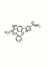 CN(C)C(=N)c1ccc(-c2cc(C(N)=O)on2)c(Oc2ccccc2)c1